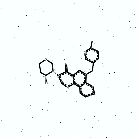 Cc1ccc(Cc2cc3c(=O)n([C@H]4COCC[C@@H]4O)cnc3c3ccccc23)cn1